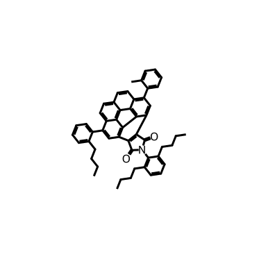 CCCCc1ccccc1-c1cc2c3c(=O)n(-c4c(CCCC)cccc4CCCC)c(=O)c3c3cc(-c4ccccc4C)c4ccc5ccc1c1c5c4c3c21